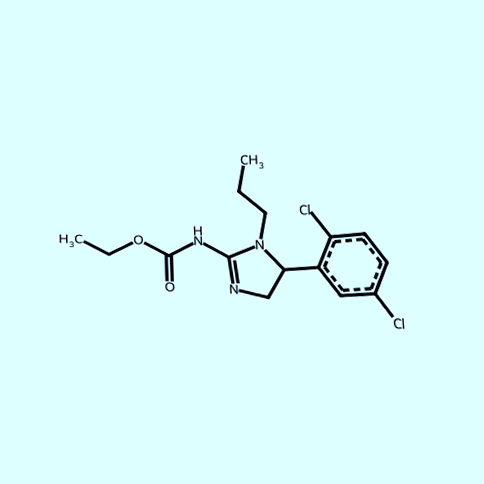 CCCN1C(NC(=O)OCC)=NCC1c1cc(Cl)ccc1Cl